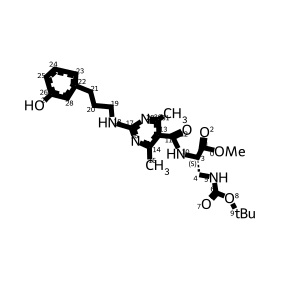 COC(=O)[C@H](CNC(=O)OC(C)(C)C)NC(=O)c1c(C)nc(NCCCc2cccc(O)c2)nc1C